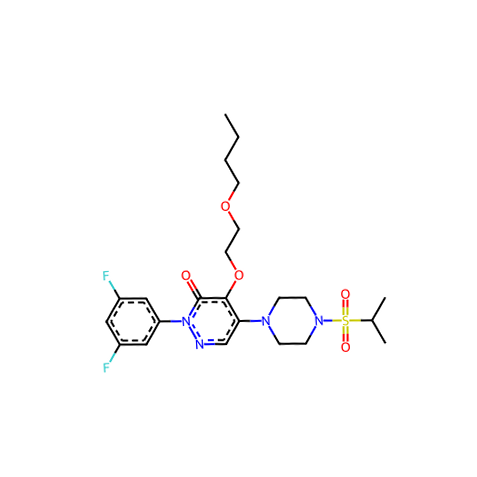 CCCCOCCOc1c(N2CCN(S(=O)(=O)C(C)C)CC2)cnn(-c2cc(F)cc(F)c2)c1=O